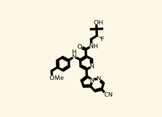 COCc1ccc(Nc2cc(-c3ccc4cc(C#N)cnn34)ncc2C(=O)NC[C@@H](F)C(C)(C)O)cc1